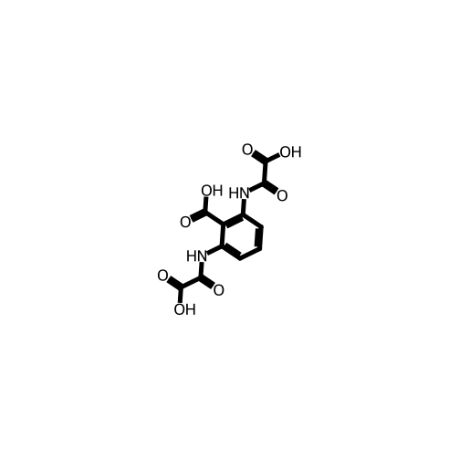 O=C(O)C(=O)Nc1cccc(NC(=O)C(=O)O)c1C(=O)O